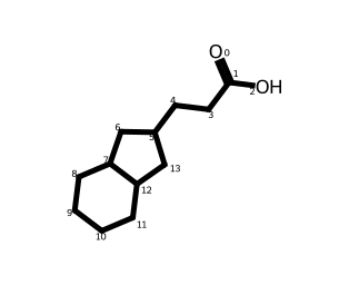 O=C(O)CCC1CC2CCCCC2C1